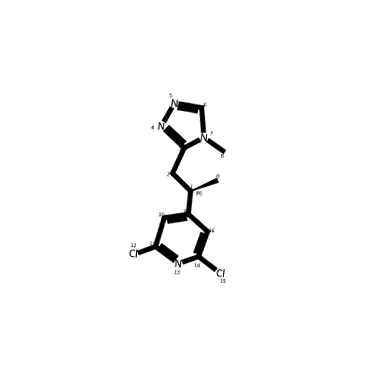 C[C@H](Cc1nncn1C)c1cc(Cl)nc(Cl)c1